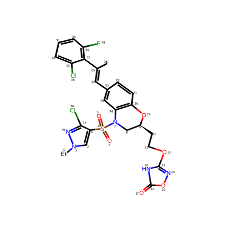 CCn1cc(S(=O)(=O)N2C[C@H](CCOc3noc(=O)[nH]3)Oc3ccc(/C=C(\C)c4c(F)cccc4Cl)cc32)c(Cl)n1